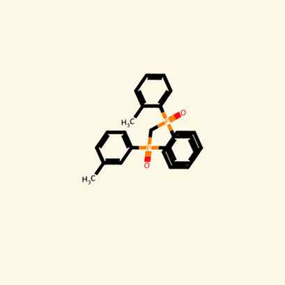 Cc1cccc(P(=O)(CP(=O)(c2ccccc2)c2ccccc2C)c2ccccc2)c1